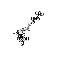 CCC[C@H](O)O[C@]1(C(=O)COC(=O)CNC(=O)CCOCCOCCNC(=O)CCN2C(=O)C=CC2=O)CC[C@H]2[C@@H]3CCC4=CC(=O)C=C[C@]4(C)[C@H]3[C@@H](O)C[C@@]21C